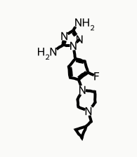 Nc1nc(N)n(-c2ccc(N3CCN(CC4CC4)CC3)c(F)c2)n1